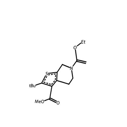 C=C(OCC)N1CCc2c(sc(C(C)(C)C)c2C(=O)OC)C1